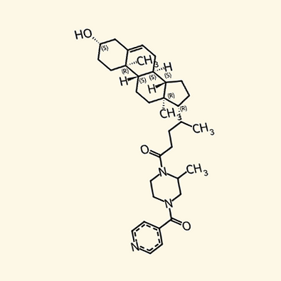 CC(CCC(=O)N1CCN(C(=O)c2ccncc2)CC1C)[C@H]1CC[C@H]2[C@@H]3CC=C4C[C@@H](O)CC[C@]4(C)[C@H]3CC[C@]12C